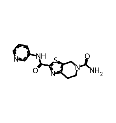 NC(=O)N1CCc2nc(C(=O)Nc3cccnc3)sc2C1